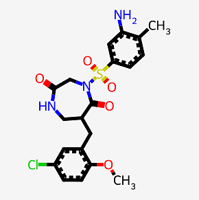 COc1ccc(Cl)cc1CC1CNC(=O)CN(S(=O)(=O)c2ccc(C)c(N)c2)C1=O